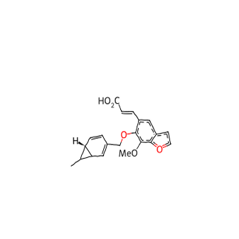 COc1c(OCC2=CC3C(C)[C@@H]3C=C2)c(/C=C/C(=O)O)cc2ccoc12